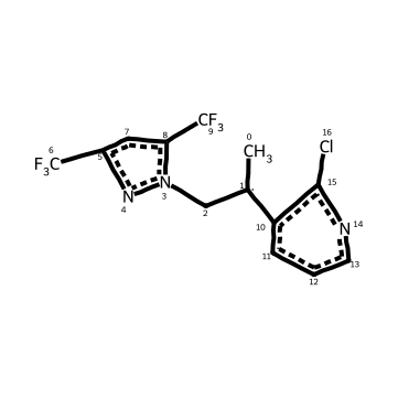 C[C](Cn1nc(C(F)(F)F)cc1C(F)(F)F)c1cccnc1Cl